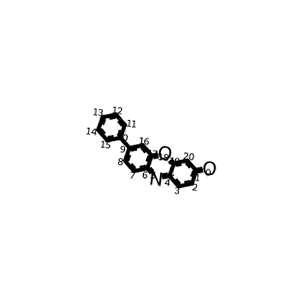 O=c1ccc2nc3ccc(-c4ccccc4)cc3oc-2c1